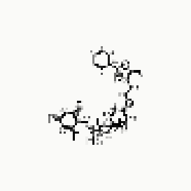 Cc1oc(-c2ccccc2)nc1CCOc1ccc(CC(C)(NCc2c(F)cc(F)cc2F)C(=O)O)cc1